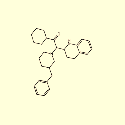 O=C(C1CCCCC1)C(C1CCc2ccccc2N1)N1CCCC(Cc2ccccc2)C1